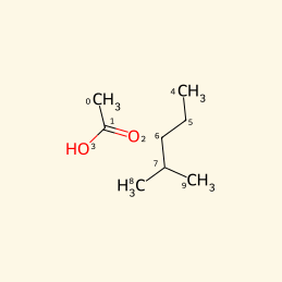 CC(=O)O.CCCC(C)C